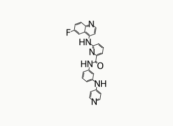 O=C(Nc1cccc(Nc2ccncc2)c1)c1cccc(Nc2ccnc3ccc(F)cc23)n1